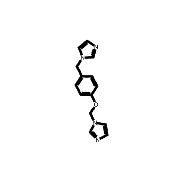 c1cn(COc2ccc(Cn3ccnc3)cc2)cn1